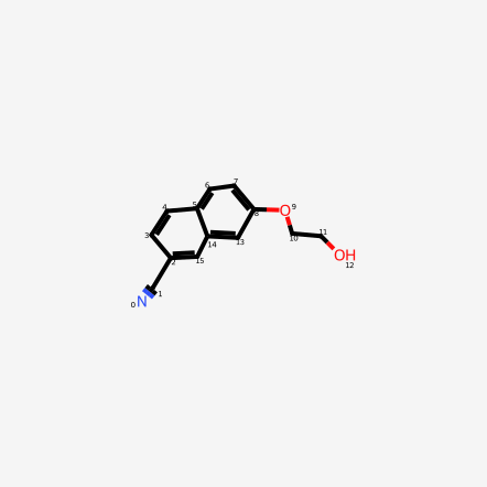 N#Cc1ccc2ccc(OCCO)cc2c1